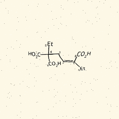 CCC(=CCC(CC)(C(=O)O)C(=O)O)C(=O)O